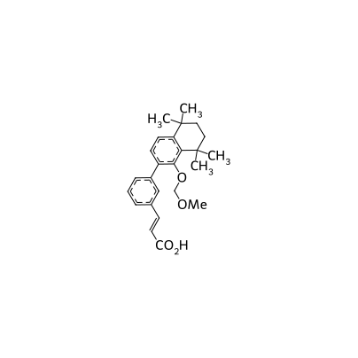 COCOc1c(-c2cccc(C=CC(=O)O)c2)ccc2c1C(C)(C)CCC2(C)C